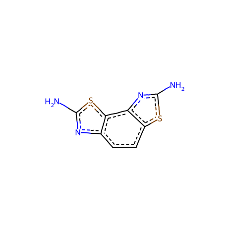 Nc1nc2c(ccc3nc(N)sc32)s1